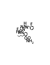 CCCCc1c(Nc2nc(N/N=C/c3ccccc3F)ncc2C(F)(F)F)cccc1OC(N)=O